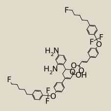 Nc1ccc(C(COC(=O)/C=C/c2ccc(OC(F)(F)c3ccc(CCCCCF)cc3)cc2)C/C(=C\C(=O)O)c2ccc(OC(F)(F)c3ccc(CCCCCF)cc3)cc2)c(N)c1